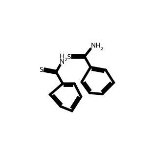 NC(=S)c1ccccc1.NC(=S)c1ccccc1